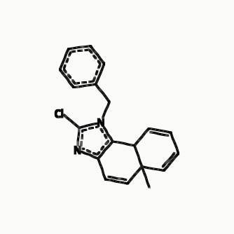 CC12C=CC=CC1c1c(nc(Cl)n1Cc1ccccc1)C=C2